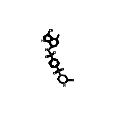 Cc1ccc(NS(=O)(=O)c2ccc(S(=O)(=O)N3CCNC(=O)C3)cc2)c2[nH]cc(C#N)c12